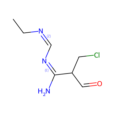 CC/N=C\N=C(\N)C(C=O)CCl